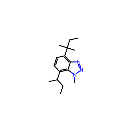 CCC(C)c1ccc(C(C)(C)CC)c2nnn(C)c12